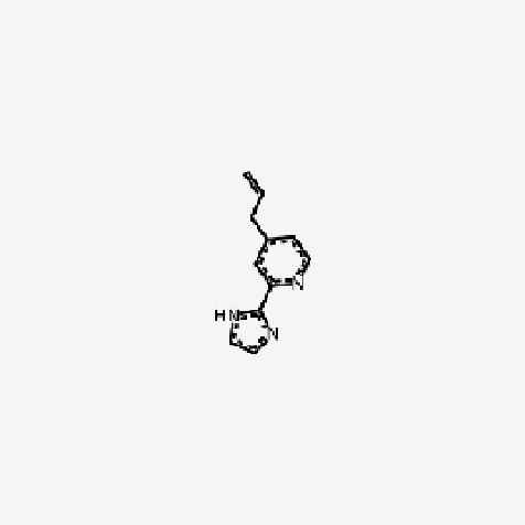 C=CCc1ccnc(-c2ncc[nH]2)c1